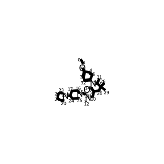 CCOc1ccc(N2CC(CN(C)C(=O)N3CCC(N4CCCC4)CC3)CC(C)(C)C2C)cc1